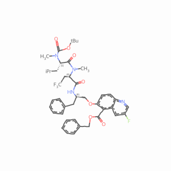 CC(C)C[C@@H](C(=O)N(C)[C@H](CC(F)(F)F)C(=O)N[C@@H](COc1ccc2ncc(F)cc2c1C(=O)OCc1ccccc1)Cc1ccccc1)N(C)C(=O)OC(C)(C)C